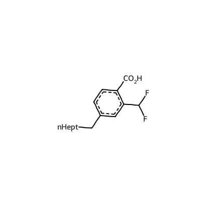 CCCCCCCCc1ccc(C(=O)O)c(C(F)F)c1